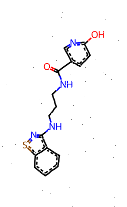 O=C(NCCCNc1nsc2ccccc12)c1ccc(O)nc1